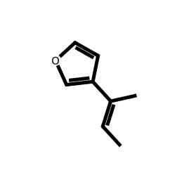 C/C=C(\C)c1ccoc1